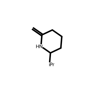 C=C1CCCC(C(C)C)N1